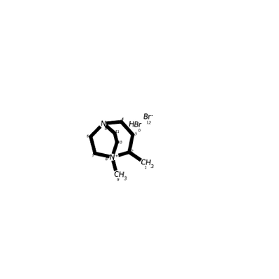 Br.CC1CCN2CC[N+]1(C)CC2.[Br-]